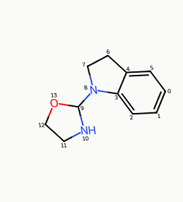 c1ccc2c(c1)CCN2C1NCCO1